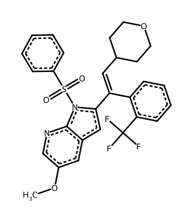 COc1cnc2c(c1)cc(C(=CC1CCOCC1)c1ccccc1C(F)(F)F)n2S(=O)(=O)c1ccccc1